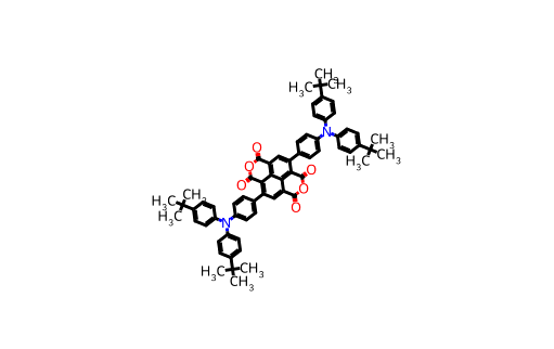 CC(C)(C)c1ccc(N(c2ccc(-c3cc4c5c(c(-c6ccc(N(c7ccc(C(C)(C)C)cc7)c7ccc(C(C)(C)C)cc7)cc6)cc6c5c3C(=O)OC6=O)C(=O)OC4=O)cc2)c2ccc(C(C)(C)C)cc2)cc1